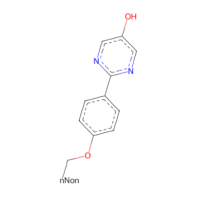 CCCCCCCCCCOc1ccc(-c2ncc(O)cn2)cc1